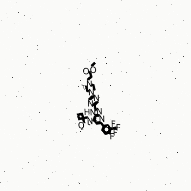 CCOC(=O)CCN1CCN(c2cnc(-c3nc4nc(-c5ccc(F)c(C(F)(F)F)c5)cc(N(C)CC5(COC)CCC5)c4[nH]3)cn2)C[C@@H]1C